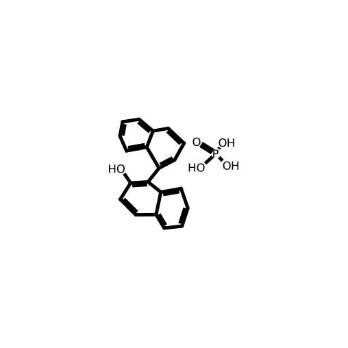 O=P(O)(O)O.Oc1ccc2ccccc2c1-c1cccc2ccccc12